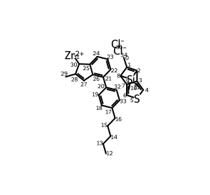 CC1=C2c3cscc3C1[Si]2(C)C.CCCCCc1ccc(-c2cccc3c2C=C(C)[CH]3[Zr+2])cc1.[Cl-].[Cl-]